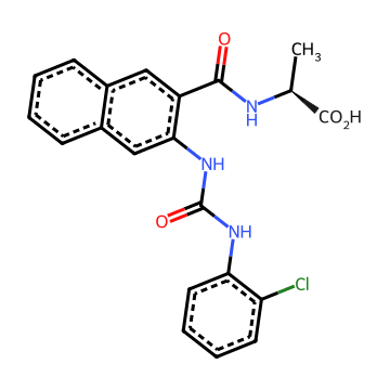 C[C@H](NC(=O)c1cc2ccccc2cc1NC(=O)Nc1ccccc1Cl)C(=O)O